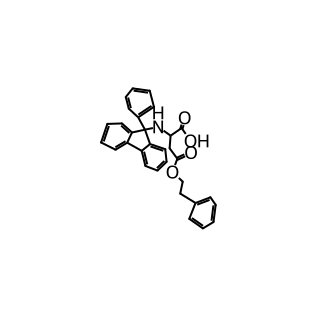 O=C(CC(NC1(c2ccccc2)c2ccccc2-c2ccccc21)C(=O)O)OCCc1ccccc1